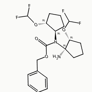 N[C@@]1(N(C(=O)OCc2ccccc2)[C@@H]2CCC[C@H]2OC(F)F)CCC[C@H]1OC(F)F